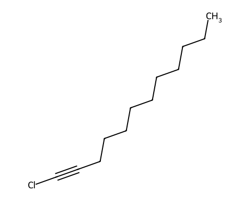 CCCCCCCCCCC#CCl